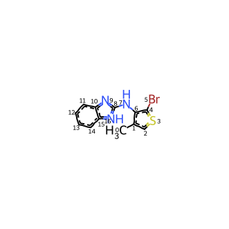 Cc1csc(Br)c1Nc1nc2ccccc2[nH]1